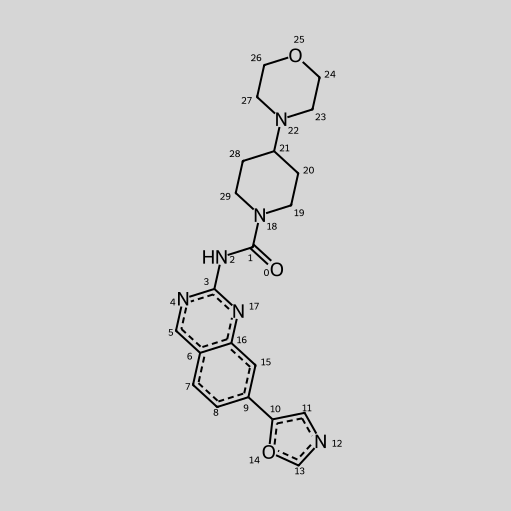 O=C(Nc1ncc2ccc(-c3cnco3)cc2n1)N1CCC(N2CCOCC2)CC1